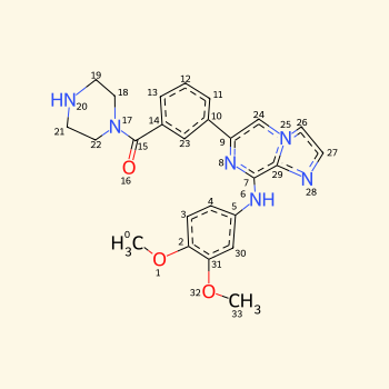 COc1ccc(Nc2nc(-c3cccc(C(=O)N4CCNCC4)c3)cn3ccnc23)cc1OC